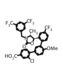 COc1ccc(-c2ccc(C(=O)O)cc2Cl)cc1-c1ccc(C(F)(F)F)cc1[C@H]1OC(=O)N(Cc2cc(C(F)(F)F)cc(C(F)(F)F)c2)[C@@H]1C